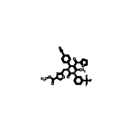 COC(=O)C1COC(CN2C(=O)N(c3cccc(C(F)(F)F)c3)C(C)=C(C(=O)c3ccco3)C2c2ccc(C#N)cc2)=N1